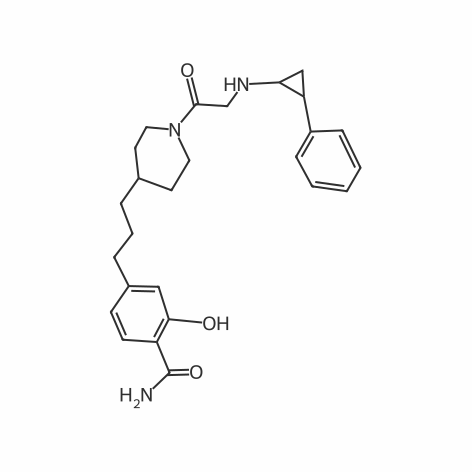 NC(=O)c1ccc(CCCC2CCN(C(=O)CNC3CC3c3ccccc3)CC2)cc1O